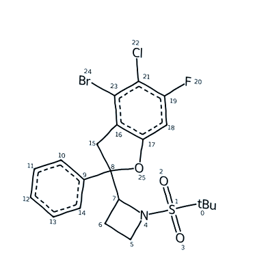 CC(C)(C)S(=O)(=O)N1CCC1C1(c2ccccc2)Cc2c(cc(F)c(Cl)c2Br)O1